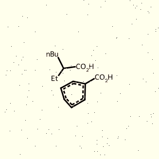 CCCCC(CC)C(=O)O.O=C(O)c1ccccc1